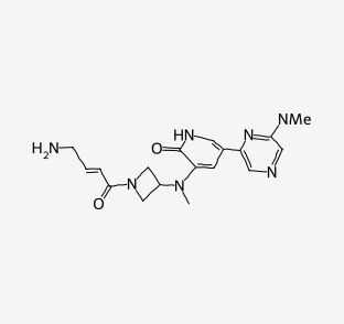 CNc1cncc(-c2c[nH]c(=O)c(N(C)C3CN(C(=O)C=CCN)C3)c2)n1